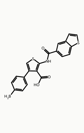 Bc1ccc(-c2csc(NC(=O)c3ccc4sccc4c3)c2C(=O)O)cc1